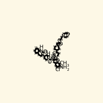 Cc1cc(C[C@@H](OC(=O)N2CCC(N3CCc4ccccc4NC3=O)CC2)C(=O)N(C)CCC(C)C2CCN(CC(=O)OCCN3CCOCC3)CC2)cc(Cl)c1N